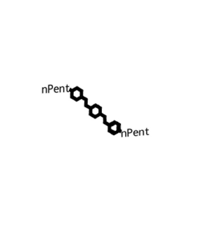 CCCCCc1ccc(CCC2CCC(CCC3CCC(CCCCC)CC3)CC2)cc1